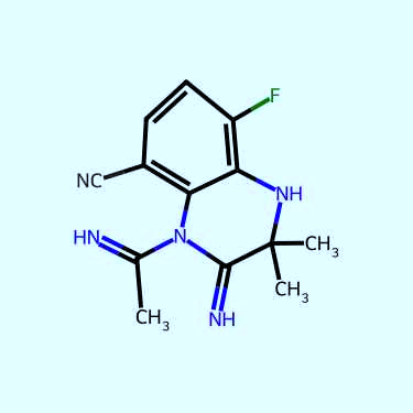 CC(=N)N1C(=N)C(C)(C)Nc2c(F)ccc(C#N)c21